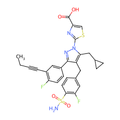 CCC#Cc1cc(-c2nn(-c3nc(C(=O)O)cs3)c(CC3CC3)c2Cc2ccc(S(N)(=O)=O)c(F)c2)ccc1F